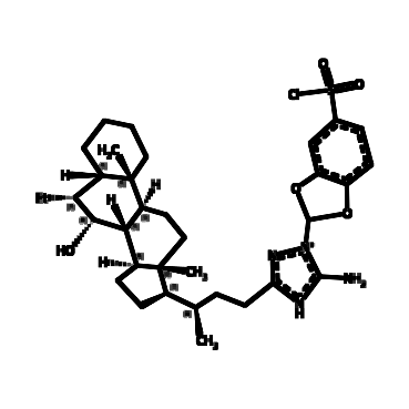 CC[C@H]1[C@@H](O)[C@@H]2[C@H](CC[C@]3(C)[C@@H]([C@H](C)CCc4n[n+](C5Oc6ccc(S(=O)(=O)Cl)cc6O5)c(N)[nH]4)CC[C@@H]23)[C@@]2(C)CCCC[C@@H]12